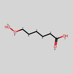 O=C(O)CCCCCOO